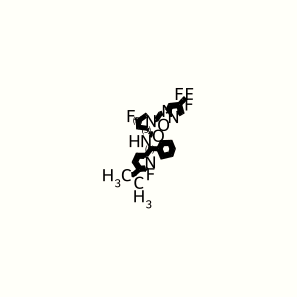 CC(C)c1ccc([C@@H](NC(=O)[C@@H]2C[C@@H](F)CN2C(=O)Cn2cc(C(F)(F)F)cn2)c2ccccc2)nc1F